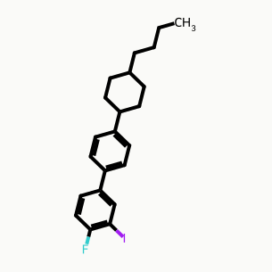 CCCCC1CCC(c2ccc(-c3ccc(F)c(I)c3)cc2)CC1